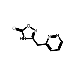 O=c1[nH]c(Cc2cccnn2)no1